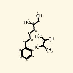 CC(O)C(C)O.OCC(O)COCCc1ccccc1